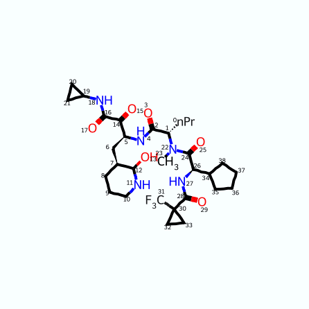 CCC[C@@H](C(=O)N[C@@H](C[C@@H]1CCCNC1O)C(=O)C(=O)NC1CC1)N(C)C(=O)[C@H](NC(=O)C1(C(F)(F)F)CC1)C1CCCC1